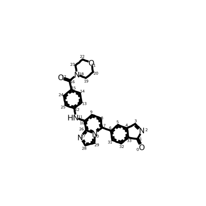 O=C1N=Cc2cc(-c3ccc(Nc4ccc(C(=O)N5CCOCC5)cc4)c4nccn34)ccc21